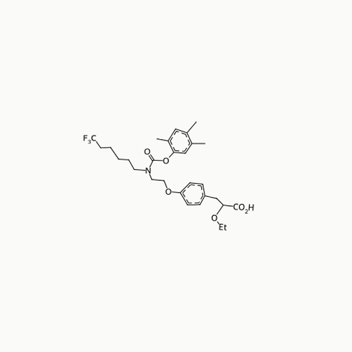 CCOC(Cc1ccc(OCCN(CCCCCC(F)(F)F)C(=O)Oc2cc(C)c(C)cc2C)cc1)C(=O)O